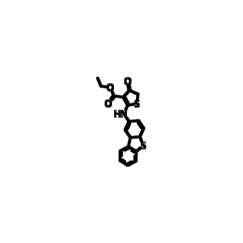 CCOC(=O)C1=C(NC2=CC3c4ccccc4SC3C=C2)SCC1=O